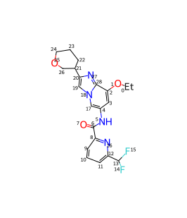 CCOc1cc(NC(=O)c2cccc(C(F)F)n2)cn2cc(C3CCCOC3)nc12